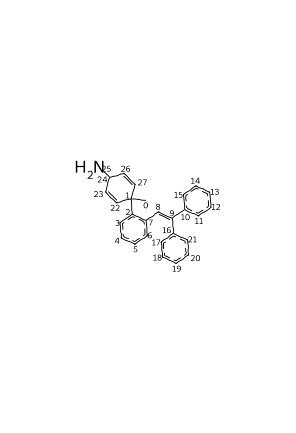 CC1(c2ccccc2C=C(c2ccccc2)c2ccccc2)C=CC(N)C=C1